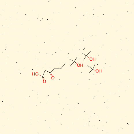 CC(C)(C)O.CC(C)(C)O.CC(C)(C)O.CCCC(=O)CC(=O)O